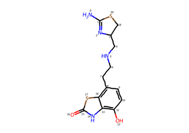 NC1=NC(CNCCc2ccc(O)c3[nH]c(=O)sc23)CS1